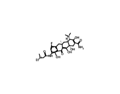 CCN(C)CC(=O)Nc1cc(F)c2c(c1O)C(=O)C1=C(O)[C@]3(O)CC(C(N)=O)=C(O)[C@@H](N(C)C)[C@@H]3C[C@]1(C)C2